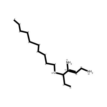 CCCCCCCCCCOC(CC)C(N)=CCN